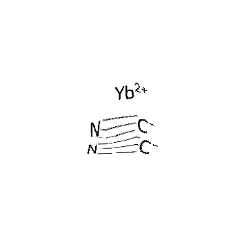 [C-]#N.[C-]#N.[Yb+2]